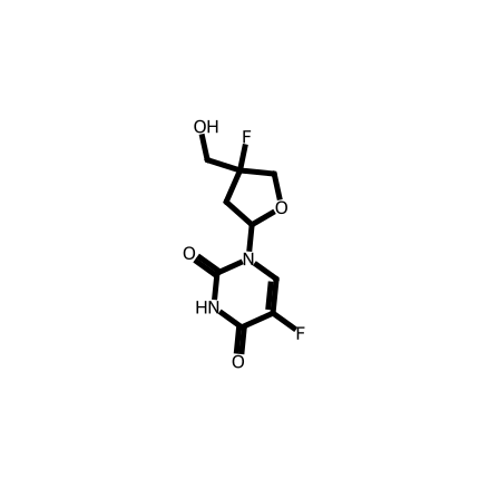 O=c1[nH]c(=O)n(C2CC(F)(CO)CO2)cc1F